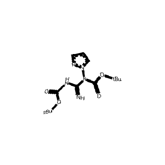 CC(C)(C)OC(=O)NC(=N)N(C(=O)OC(C)(C)C)n1cccn1